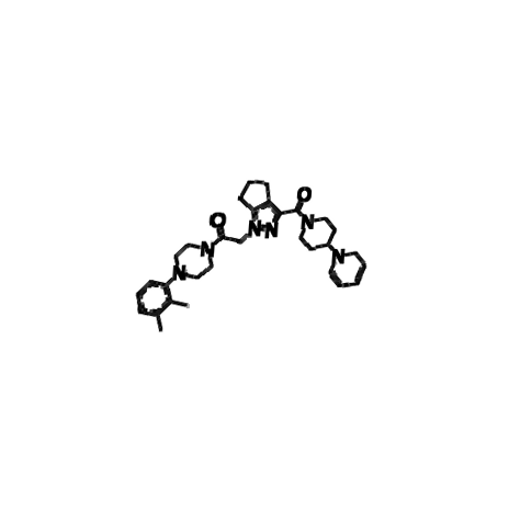 Cc1cccc(N2CCN(C(=O)Cn3nc(C(=O)N4CCC(N5C=CC=CC5)CC4)c4c3CCC4)CC2)c1C